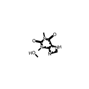 CO.Cn1c(=O)c2[nH]cnc2n(C)c1=O